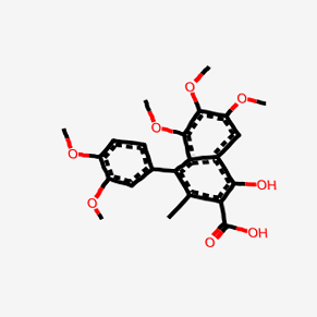 COc1ccc(-c2c(C)c(C(=O)O)c(O)c3cc(OC)c(OC)c(OC)c23)cc1OC